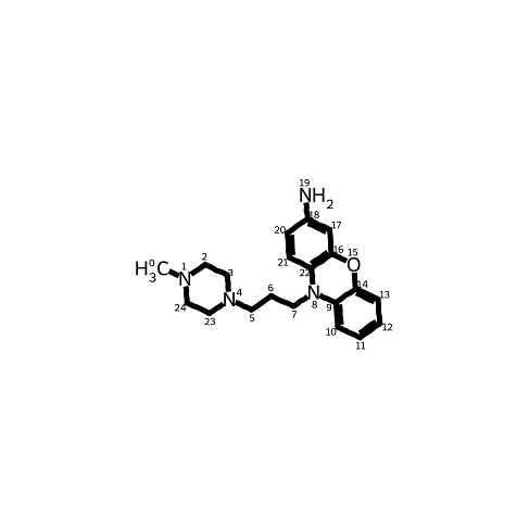 CN1CCN(CCCN2c3ccccc3Oc3cc(N)ccc32)CC1